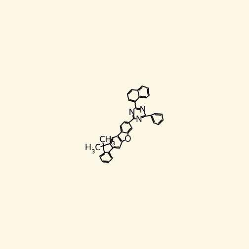 CC1(C)c2ccccc2-c2cc3oc4cc(-c5nc(-c6ccccc6)nc(-c6cccc7ccccc67)n5)ccc4c3cc21